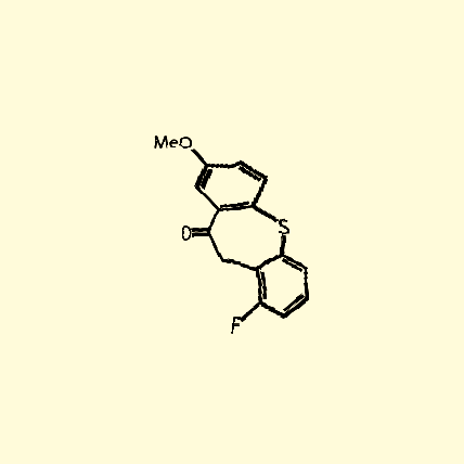 COc1ccc2c(c1)C(=O)Cc1c(F)cccc1S2